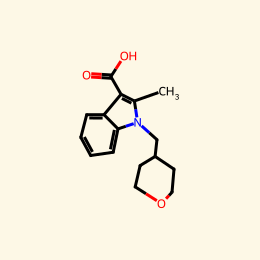 Cc1c(C(=O)O)c2ccccc2n1CC1CCOCC1